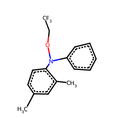 Cc1ccc(N(OCC(F)(F)F)c2ccccc2)c(C)c1